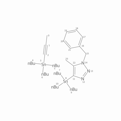 CC#[C][Sn]([CH2]CCC)([CH2]CCC)[CH2]CCC.CCC[CH2][Sn]([CH2]CCC)([CH2]CCC)[c]1nnn(Cc2ccccc2)c1C